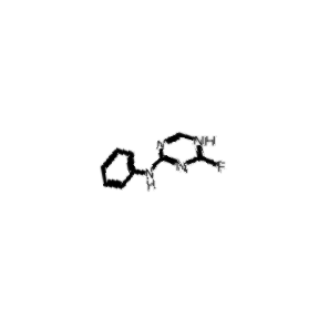 F[C]1N=C(Nc2ccccc2)N=CN1